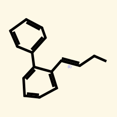 CC/C=C/c1ccccc1-c1ccccc1